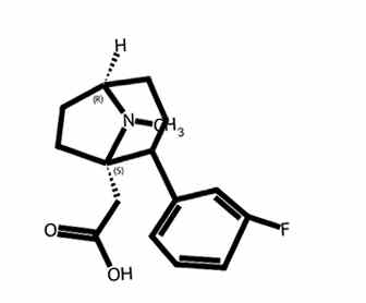 CN1[C@@H]2CCC(c3cccc(F)c3)[C@@]1(CC(=O)O)CC2